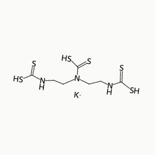 S=C(S)NCCN(CCNC(=S)S)C(=S)S.[K]